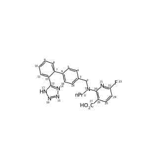 CCCN(Cc1ccc(-c2ccccc2-c2nnn[nH]2)cc1)c1nc(F)ccc1C(=O)O